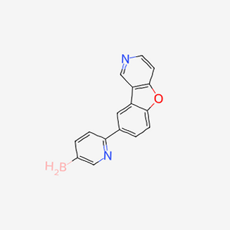 Bc1ccc(-c2ccc3oc4ccncc4c3c2)nc1